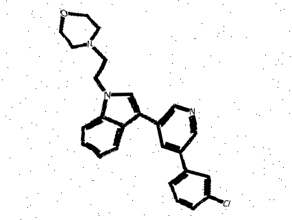 Clc1cccc(-c2cncc(-c3cn(CCN4CCOCC4)c4ccccc34)c2)c1